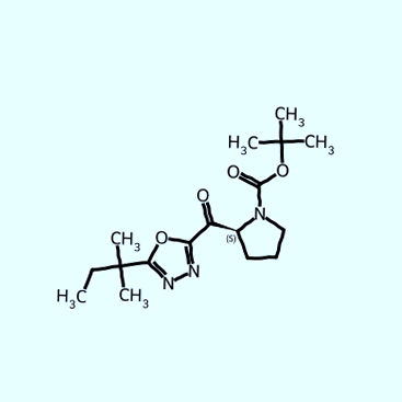 CCC(C)(C)c1nnc(C(=O)[C@@H]2CCCN2C(=O)OC(C)(C)C)o1